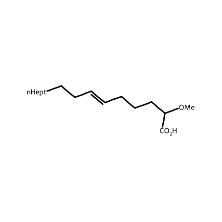 CCCCCCCCCC=CCCCC(OC)C(=O)O